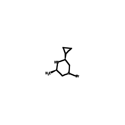 CC(C)N1C[C@@H](C)N[C@@H](C2CC2)C1